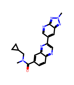 CN(CC1CC1)C(=O)c1ccc2ncc(-c3cnc4nn(C)nc4c3)nc2c1